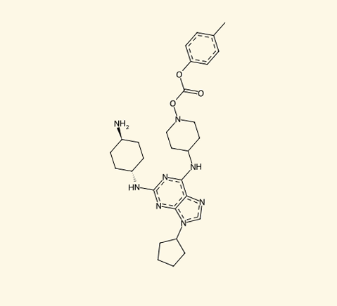 Cc1ccc(OC(=O)ON2CCC(Nc3nc(N[C@H]4CC[C@H](N)CC4)nc4c3ncn4C3CCCC3)CC2)cc1